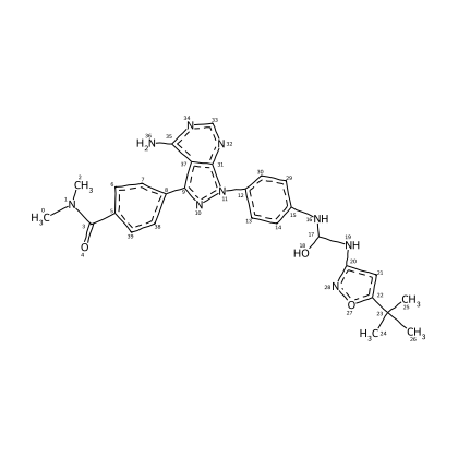 CN(C)C(=O)c1ccc(-c2nn(-c3ccc(NC(O)Nc4cc(C(C)(C)C)on4)cc3)c3ncnc(N)c23)cc1